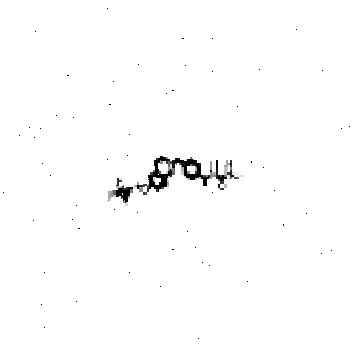 CCNC(=O)NC(C)c1ccc(CN2CCc3cc(OC[C@@H]4CC4(F)F)ccc3C2)cc1